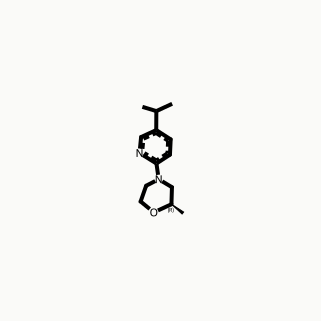 CC(C)c1ccc(N2CCO[C@H](C)C2)nc1